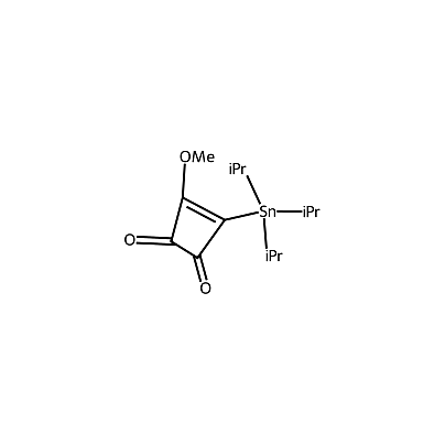 COc1[c]([Sn]([CH](C)C)([CH](C)C)[CH](C)C)c(=O)c1=O